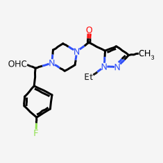 CCn1nc(C)cc1C(=O)N1CCN(C(C=O)c2ccc(F)cc2)CC1